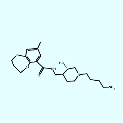 Cc1cc2c(c(C(=O)NC[C@@H]3CCN(CCCCN)C[C@H]3O)c1)OCCCO2